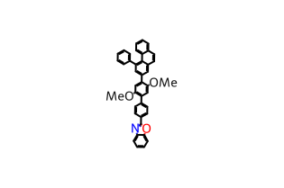 COc1cc(-c2cc(-c3ccccc3)c3c(ccc4ccccc43)c2)c(OC)cc1-c1ccc(-c2nc3ccccc3o2)cc1